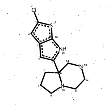 Clc1cc2cc(C34CCCN3CC[N]C4)[nH]c2s1